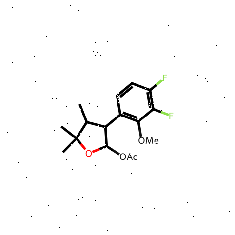 COc1c(C2C(OC(C)=O)OC(C)(C)C2C)ccc(F)c1F